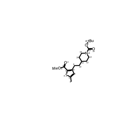 COC(=O)c1sc(C)cc1CCC1CCN(C(=O)OC(C)(C)C)CC1